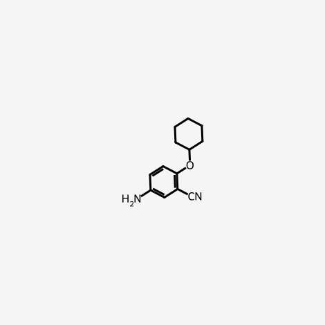 N#Cc1cc(N)ccc1OC1CCCCC1